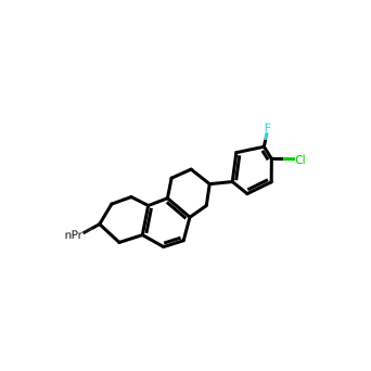 CCCC1CCc2c(ccc3c2CCC(c2ccc(Cl)c(F)c2)C3)C1